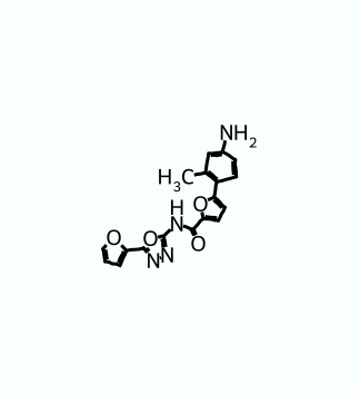 Cc1cc(N)ccc1-c1ccc(C(=O)Nc2nnc(-c3ccco3)o2)o1